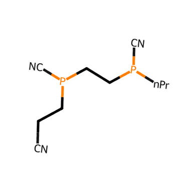 CCCP(C#N)CCP(C#N)CCC#N